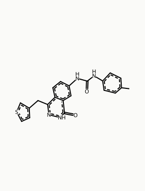 Cc1ccc(NC(=O)Nc2ccc3c(Cc4ccsc4)n[nH]c(=O)c3c2)cc1